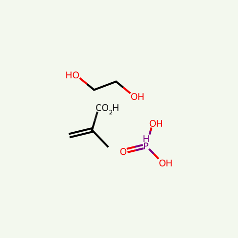 C=C(C)C(=O)O.O=[PH](O)O.OCCO